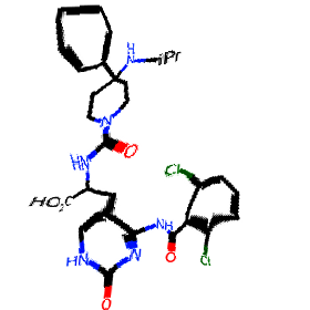 CC(C)NC1(c2ccccc2)CCN(C(=O)NC(Cc2c[nH]c(=O)nc2NC(=O)c2c(Cl)cccc2Cl)C(=O)O)CC1